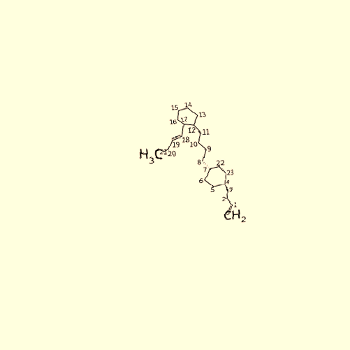 C=CCC[C@H]1CC[C@H](CCCCC2CCCCC2/C=C/CC)CC1